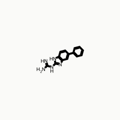 N=C(N)Nc1nc2cc(-c3ccccc3)ccc2[nH]1